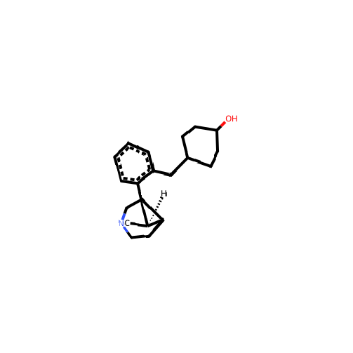 OC1CCC(Cc2c[c]ccc2[C@@H]2CN3CCC2CC3)CC1